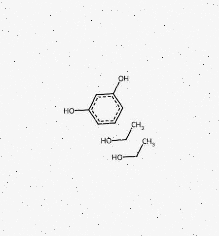 CCO.CCO.Oc1cccc(O)c1